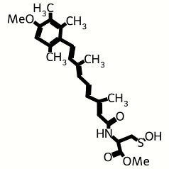 COC(=O)C(CSO)NC(=O)/C=C(C)/C=C/C=C(C)/C=C/c1c(C)cc(OC)c(C)c1C